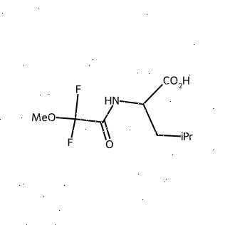 COC(F)(F)C(=O)NC(CC(C)C)C(=O)O